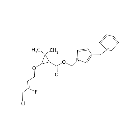 CC1(C)C(OCC=C(F)CCl)C1C(=O)OCn1ccc(Cc2ccccc2)c1